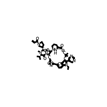 C=CC(=O)N1CC[C@H](C(=O)N(C)[C@H](C(=O)N[C@H]2Cc3nc(no3)-c3ccc4c(c3)c(c(-c3cncnc3)n4CC)CC(C)(C)COC(=O)[C@@H]3CCCN(N3)C2=O)C(C)C)C1